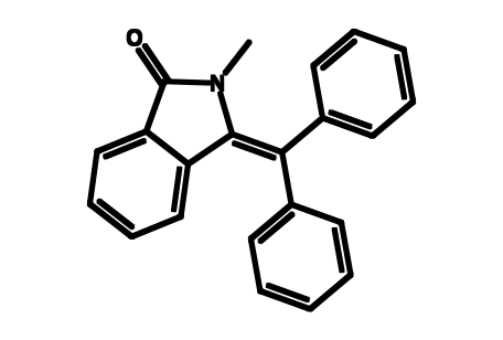 CN1C(=O)c2ccccc2C1=C(c1ccccc1)c1ccccc1